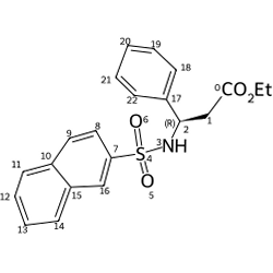 CCOC(=O)C[C@@H](NS(=O)(=O)c1ccc2ccccc2c1)c1ccccc1